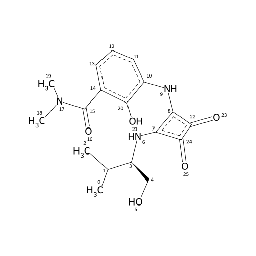 CC(C)[C@H](CO)Nc1c(Nc2cccc(C(=O)N(C)C)c2O)c(=O)c1=O